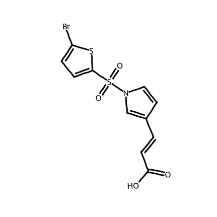 O=C(O)C=Cc1ccn(S(=O)(=O)c2ccc(Br)s2)c1